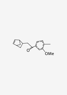 COc1cc(C(=O)CC2CC3C=CC2C3)ccc1C